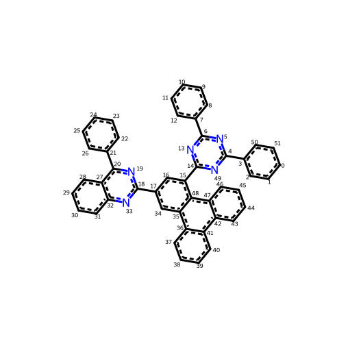 c1ccc(-c2nc(-c3ccccc3)nc(-c3cc(-c4nc(-c5ccccc5)c5ccccc5n4)cc4c5ccccc5c5ccccc5c34)n2)cc1